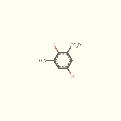 CCOC(=O)c1cc(Br)cc([N+](=O)[O-])c1O